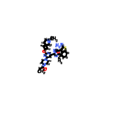 C=CC(=O)N1CCN(c2cc(-c3noc([C@@]4(C)CCCc5sc(N)c(C#N)c54)n3)nc(OC3CC4(CCN(C)C4)C3)n2)CC1